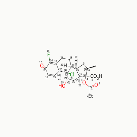 CCC(=O)O[C@]1(C(=O)O)[C@H](C)C[C@H]2[C@@H]3CCC4=C(F)C(=O)C=C[C@]4(C)[C@@]3(Cl)[C@@H](O)C[C@@]21C